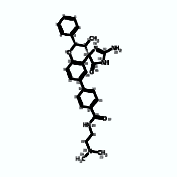 CC1[C@H](c2ccccc2)Oc2ccc(-c3ccc(C(=O)NCCN(C)C)cc3)cc2[C@]12N=C(N)NC2=O